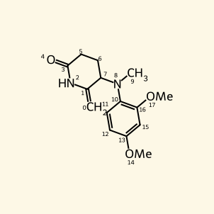 C=C1NC(=O)CCC1N(C)c1ccc(OC)cc1OC